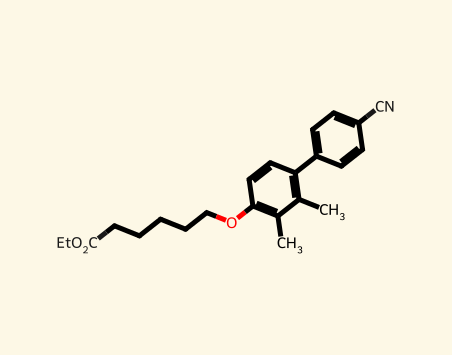 CCOC(=O)CCCCCOc1ccc(-c2ccc(C#N)cc2)c(C)c1C